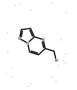 BrCc1ccn2nccc2n1